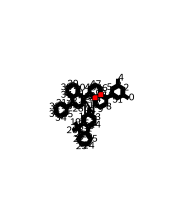 Cc1cc(C)cc(-c2ccc(N(c3ccc4c(c3)C(C)(C)c3ccccc3-4)c3cc(-c4ccccc4)c4ccccc4c3-c3ccccc3)cc2)c1